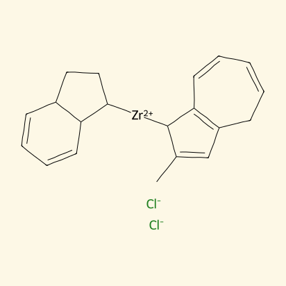 CC1=CC2=C(C=CC=CC2)[CH]1[Zr+2][CH]1CCC2C=CC=CC21.[Cl-].[Cl-]